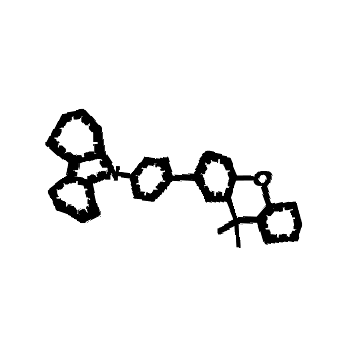 CC1(C)c2ccccc2Oc2ccc(-c3ccc(-n4c5ccccc5c5ccccc54)cc3)cc21